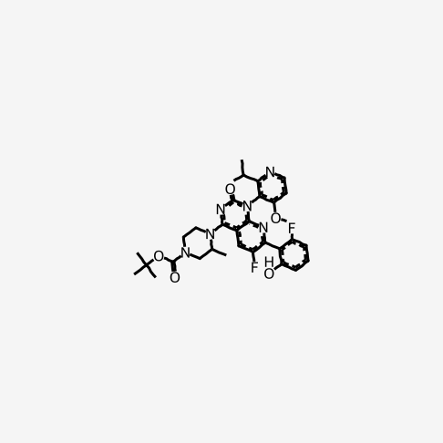 COc1ccnc(C(C)C)c1-n1c(=O)nc(N2CCN(C(=O)OC(C)(C)C)CC2C)c2cc(F)c(-c3c(O)cccc3F)nc21